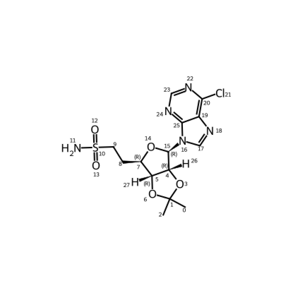 CC1(C)O[C@@H]2[C@H](O1)[C@@H](CCS(N)(=O)=O)O[C@H]2n1cnc2c(Cl)ncnc21